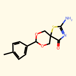 Cc1ccc(C2OCC3(CO2)SC(N)=NC3=O)cc1